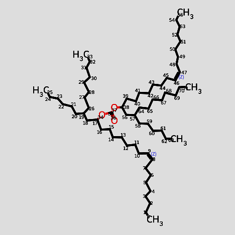 CCCCCCCC/C=C\CCCCCCCC(CC(CCCCCC)CCCCCCCC)OC(=O)OC(CCCCCCC/C=C\CCCCCCCC)CC(CCCCCC)CCCCCCCC